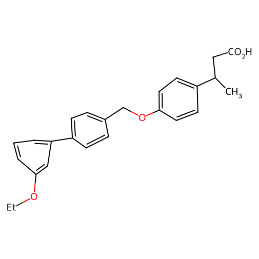 CCOc1cccc(-c2ccc(COc3ccc(C(C)CC(=O)O)cc3)cc2)c1